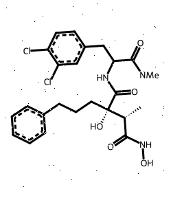 CNC(=O)C(Cc1ccc(Cl)c(Cl)c1)NC(=O)[C@](O)(CCCc1ccccc1)[C@H](C)C(=O)NO